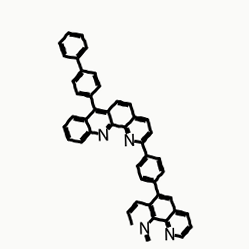 C=Nc1c(/C=C\C)c(-c2ccc(-c3ccc4ccc5c(-c6ccc(-c7ccccc7)cc6)c6ccccc6nc5c4n3)cc2)cc2cccnc12